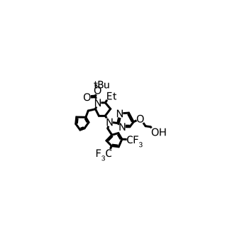 CCC1CC(N(Cc2cc(C(F)(F)F)cc(C(F)(F)F)c2)c2ncc(OCCO)cn2)CC(Cc2ccccc2)N1C(=O)OC(C)(C)C